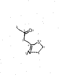 CC(=O)CC1=NCCS1